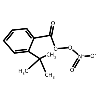 CC(C)(C)c1ccccc1C(=O)OO[N+](=O)[O-]